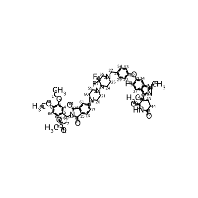 CCOc1cc([C@@H](CS(C)(=O)=O)N2C(=O)c3ccc(N4CCN([C@H]5CCN(Cc6ccc(Oc7cc8c(cc7F)c([C@@]7(C)CCC(=O)NC7=O)nn8C)cc6)CC5(F)F)CC4)cc3C2=O)ccc1OC